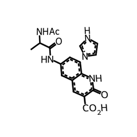 CC(=O)NC(C)C(=O)Nc1ccc2[nH]c(=O)c(C(=O)O)cc2c1.c1c[nH]cn1